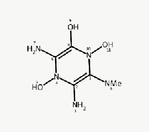 CNC1=C(N)N(O)C(N)=C(O)N1O